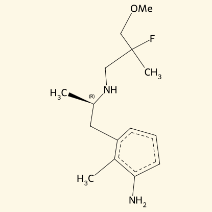 COCC(C)(F)CN[C@H](C)Cc1cccc(N)c1C